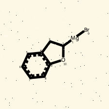 [Br][Mg][CH]1Cc2ccccc2O1